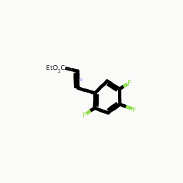 CCOC(=O)/C=C/c1cc(F)c(F)cc1F